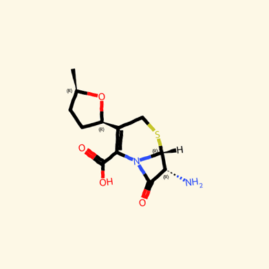 C[C@@H]1CC[C@H](C2=C(C(=O)O)N3C(=O)[C@@H](N)[C@H]3SC2)O1